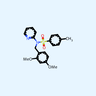 COc1ccc(CN(c2ccccn2)S(=O)(=O)c2ccc(C)cc2)c(OC)c1